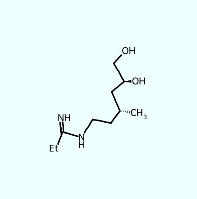 CCC(=N)NCC[C@@H](C)C[C@H](O)CO